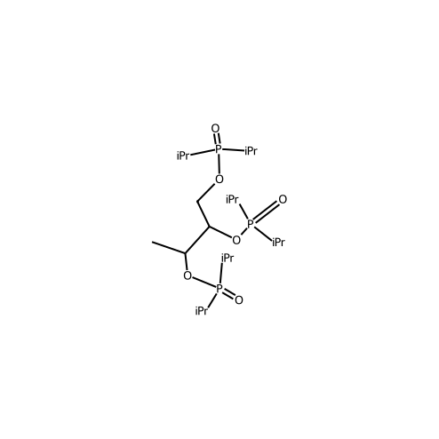 CC(OP(=O)(C(C)C)C(C)C)C(COP(=O)(C(C)C)C(C)C)OP(=O)(C(C)C)C(C)C